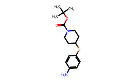 CC(C)(C)OC(=O)N1CCC(Sc2ccc(N)cc2)CC1